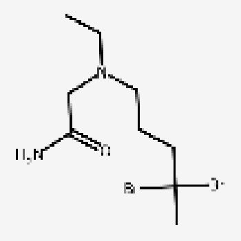 CCN(CCCC(C)(Br)Br)CC(N)=O